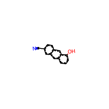 N#Cc1ccc2cc3c(O)cccc3cc2c1